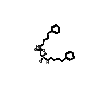 O=S(=O)(CS(=O)(=O)NCCCCc1ccccc1)NCCCCc1ccccc1